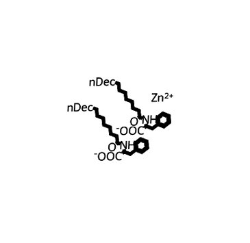 CCCCCCCCCCCCCCCCCC(=O)NC(Cc1ccccc1)C(=O)[O-].CCCCCCCCCCCCCCCCCC(=O)NC(Cc1ccccc1)C(=O)[O-].[Zn+2]